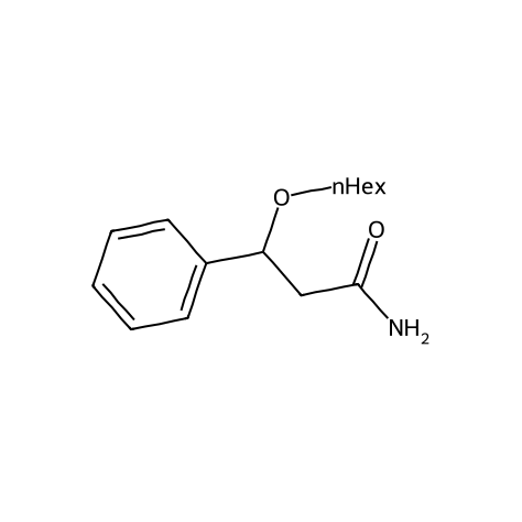 CCCCCCOC(CC(N)=O)c1ccccc1